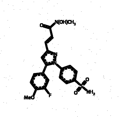 COc1ccc(-c2cc(C=CC(=O)N(C)O)nn2-c2ccc(S(N)(=O)=O)cc2)cc1F